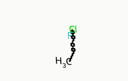 CCCCCCCCc1ccc([C@H]2CC[C@H](CCc3ccc(-c4ccc(Cl)cc4)c(F)c3)CC2)cc1